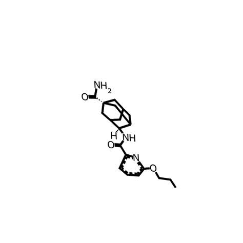 CCCOc1cccc(C(=O)N[C@H]2C3CC4CC2C[C@](C(N)=O)(C4)C3)n1